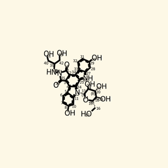 O=C1c2c(c3c4ccc(O)cc4n([C@H]4O[C@@H](CO)[C@H](O)[C@@H](O)[C@@H]4O)c3c3[nH]c4cc(O)ccc4c23)C(=O)N1NC(CO)CO